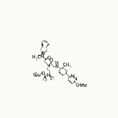 CCN(CCN(CC(=O)N(C)N1Cc2ccccc2C1)C(=O)CNc1ccc(-c2ccc(OC)nn2)cc1C)C(=O)OC(C)(C)C